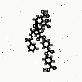 CC(CSC(=S)c1ccccc1)(CC(C)(C(=O)Oc1ccc(C(=O)Oc2ccc(C(=O)O)cc2)cc1)C(C)(C#N)CCC(=O)O)C(=O)Oc1ccc(C(=O)O)cc1